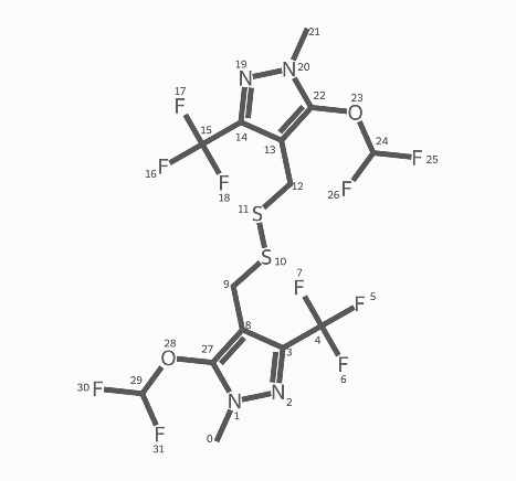 Cn1nc(C(F)(F)F)c(CSSCc2c(C(F)(F)F)nn(C)c2OC(F)F)c1OC(F)F